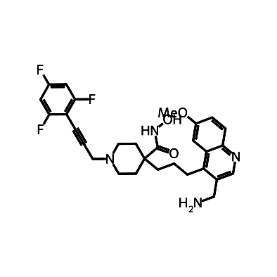 COc1ccc2ncc(CN)c(CCCC3(C(=O)NO)CCN(CC#Cc4c(F)cc(F)cc4F)CC3)c2c1